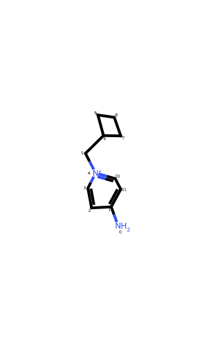 Nc1cc[n+](CC2CCC2)cc1